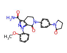 COc1ccccc1-n1nc(C(N)=O)c2c1C(=O)N(c1ccc(N3CCCC3=O)cc1)CC2